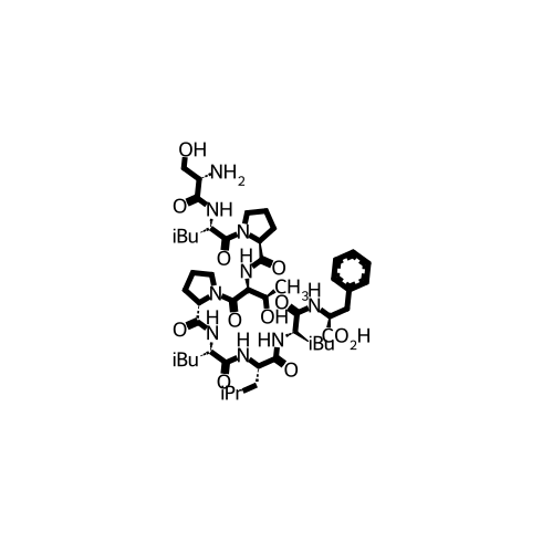 CC[C@H](C)[C@H](NC(=O)[C@H](CC(C)C)NC(=O)[C@@H](NC(=O)[C@@H]1CCCN1C(=O)[C@@H](NC(=O)[C@@H]1CCCN1C(=O)[C@@H](NC(=O)[C@@H](N)CO)[C@@H](C)CC)[C@@H](C)O)[C@@H](C)CC)C(=O)N[C@@H](Cc1ccccc1)C(=O)O